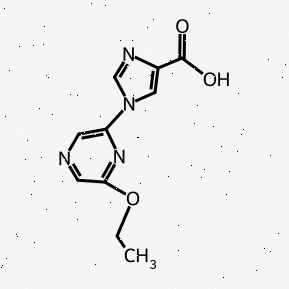 CCOc1cncc(-n2cnc(C(=O)O)c2)n1